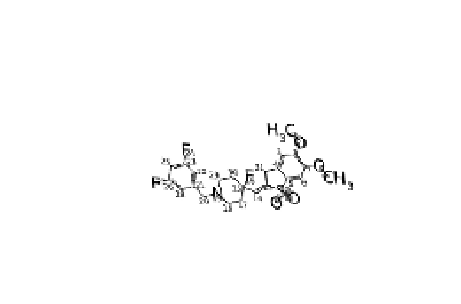 COc1cc2c(cc1OC)S(=O)(=O)C(=CC1(F)CCN(Cc3cc(F)cc(F)c3)CC1)C2